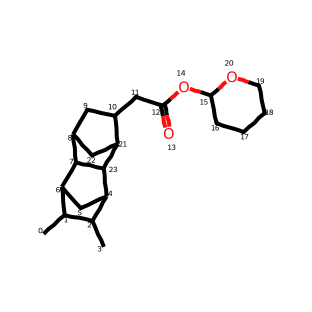 CC1C(C)C2CC1C1C3CC(CC(=O)OC4CCCCO4)C(C3)C21